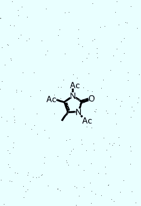 CC(=O)c1c(C)n(C(C)=O)c(=O)n1C(C)=O